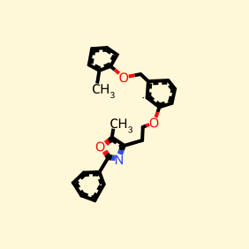 Cc1ccccc1OCc1[c]c(OCCc2nc(-c3ccccc3)oc2C)ccc1